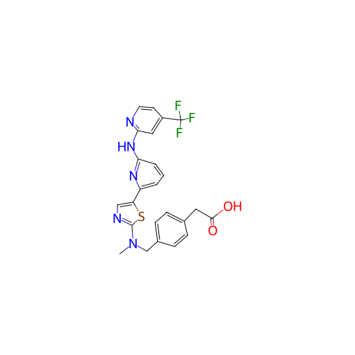 CN(Cc1ccc(CC(=O)O)cc1)c1ncc(-c2cccc(Nc3cc(C(F)(F)F)ccn3)n2)s1